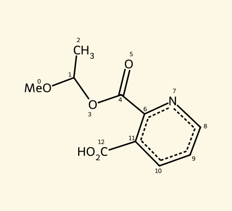 COC(C)OC(=O)c1ncccc1C(=O)O